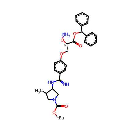 CC1CN(C(=O)OC(C)(C)C)CC1NC(=N)c1ccc(OC[C@H](ON)C(=O)OC(c2ccccc2)c2ccccc2)cc1